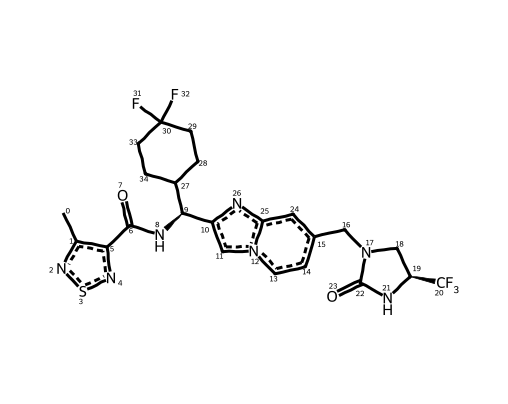 Cc1nsnc1C(=O)N[C@H](c1cn2ccc(CN3C[C@@H](C(F)(F)F)NC3=O)cc2n1)C1CCC(F)(F)CC1